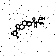 CC(C)C(CO)NC(=O)c1ccc2c(c1)CCC1C2CCC2(C)C(c3cncc(F)c3)=CCC12